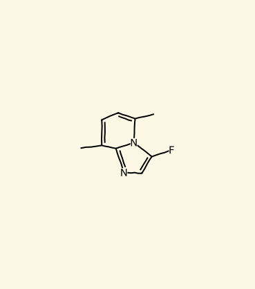 Cc1ccc(C)n2c(F)cnc12